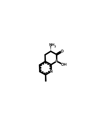 Cc1ccc2c(n1)N(O)C(=O)[C@@H](N)C2